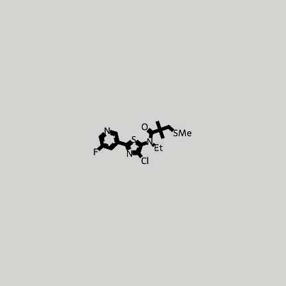 CCN(C(=O)C(C)(C)CSC)c1sc(-c2cncc(F)c2)nc1Cl